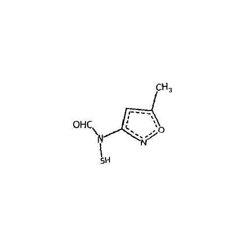 Cc1cc(N(S)C=O)no1